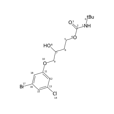 CC(C)(C)NC(=O)OCCC(O)COc1cc(Cl)cc(Br)c1